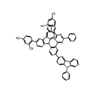 N#Cc1ccc(-c2ccc3c(c2)c2cc(-c4ccc(C#N)cc4C#N)ccc2n3-c2ccc(-c3ccc4c(c3)c3ccccc3n4-c3ccccc3)cc2-c2nc(-c3ccccc3)nc(-c3ccccc3)n2)c(C#N)c1